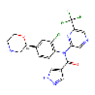 O=C(c1cn[nH]c1)N(c1cncc(C(F)(F)F)n1)c1ccc([C@H]2CNCCO2)cc1Cl